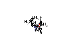 C\C=C/C(Cl)=C(\C=C(/C)c1ccc(CNC(C)c2ccc(C)cc2)o1)C(=O)N[C@@H](CNC[C@H]1CNCC1C)Cc1ccc(C#N)cc1